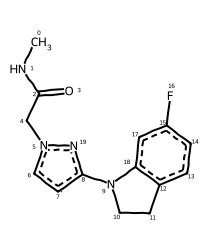 CNC(=O)Cn1c[c]c(N2CCc3ccc(F)cc32)n1